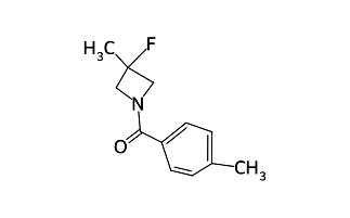 Cc1ccc(C(=O)N2CC(C)(F)C2)cc1